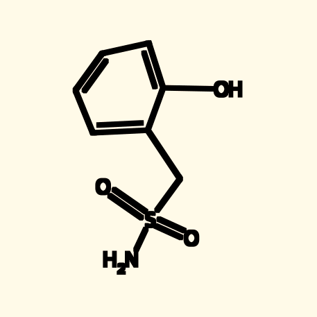 NS(=O)(=O)Cc1ccccc1O